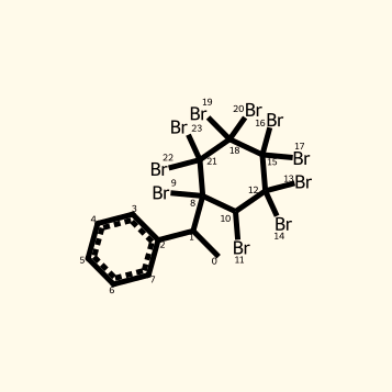 CC(c1ccccc1)C1(Br)C(Br)C(Br)(Br)C(Br)(Br)C(Br)(Br)C1(Br)Br